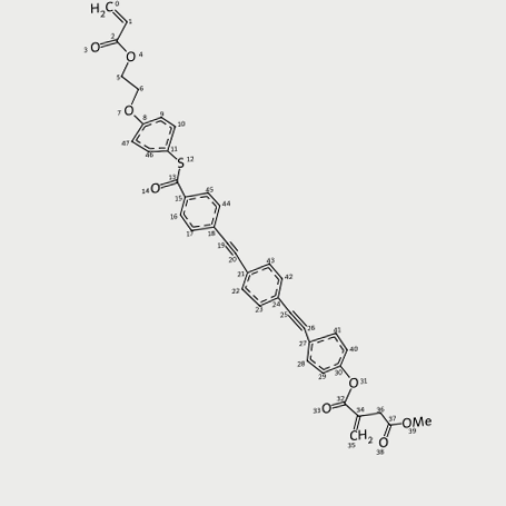 C=CC(=O)OCCOc1ccc(SC(=O)c2ccc(C#Cc3ccc(C#Cc4ccc(OC(=O)C(=C)CC(=O)OC)cc4)cc3)cc2)cc1